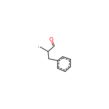 [CH]C(C=O)Cc1ccccc1